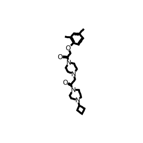 Cc1ccc(OCC(=O)N2CCN(CC(=O)N3CCN(C4CCC4)CC3)CC2)c(C)c1